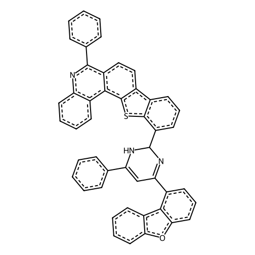 C1=C(c2ccccc2)NC(c2cccc3c2sc2c3ccc3c(-c4ccccc4)nc4ccccc4c32)N=C1c1cccc2oc3ccccc3c12